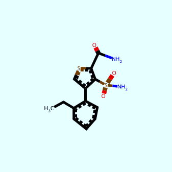 CCc1ccccc1-c1csc(C(N)=O)c1S(N)(=O)=O